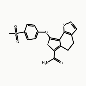 CS(=O)(=O)c1ccc(Oc2sc(C(N)=O)c3c2-c2sncc2CC3)cc1